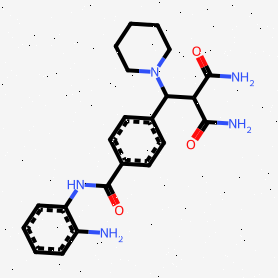 NC(=O)C(C(N)=O)C(c1ccc(C(=O)Nc2ccccc2N)cc1)N1CCCCC1